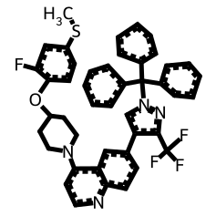 CSc1ccc(OC2CCN(c3ccnc4ccc(-c5cn(C(c6ccccc6)(c6ccccc6)c6ccccc6)nc5C(F)(F)F)cc34)CC2)c(F)c1